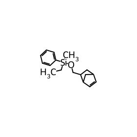 CC[Si](C)(OCC1CC2C=CC1C2)c1ccccc1